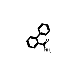 NC(=O)c1cc[c]cc1-c1ccccc1